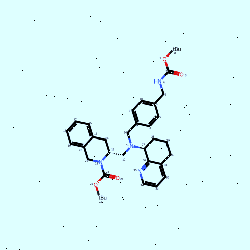 CC(C)(C)OC(=O)NCc1ccc(CN(C[C@H]2Cc3ccccc3CN2C(=O)OC(C)(C)C)[C@H]2CCCc3cccnc32)cc1